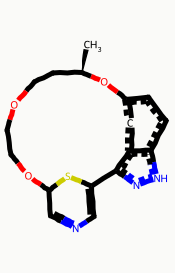 C[C@@H]1CCOCCOC2C=NC=C(S2)c2n[nH]c3ccc(cc23)O1